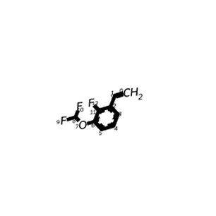 C=[C]c1cccc(OC(F)F)c1F